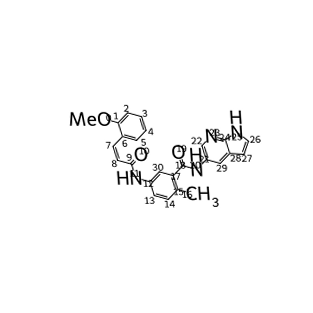 COc1ccccc1/C=C\C(=O)Nc1ccc(C)c(C(=O)Nc2cnc3[nH]ccc3c2)c1